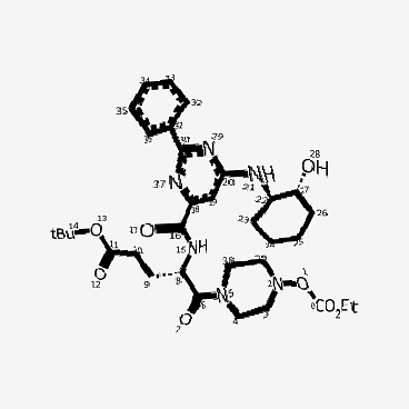 CCOC(=O)ON1CCN(C(=O)[C@H](CCC(=O)OC(C)(C)C)NC(=O)c2cc(N[C@@H]3CCCC[C@H]3O)nc(-c3ccccc3)n2)CC1